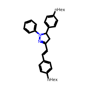 CCCCCCc1ccc(C=CC2=NN(c3ccccc3)C(c3ccc(CCCCCC)cc3)C2)cc1